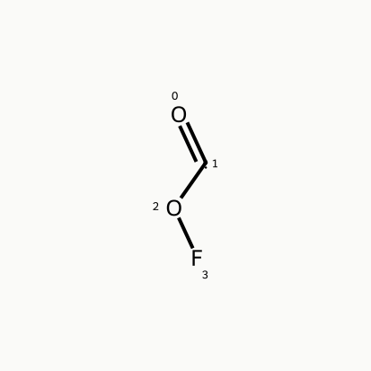 O=[C]OF